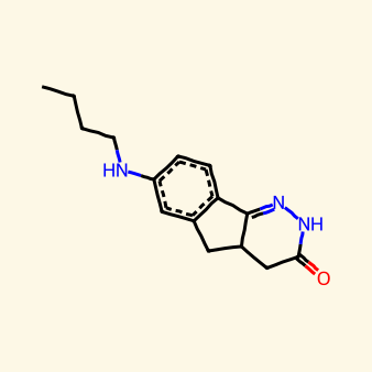 CCCCNc1ccc2c(c1)CC1CC(=O)NN=C21